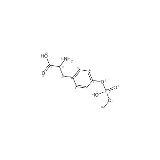 COP(=O)(O)Oc1ccc(CC(N)C(=O)O)cc1